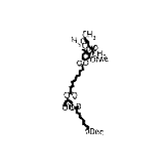 CCCCCCCCCCCCCCCCC(=O)OCC(CO)OC(=O)CCCCCCCCC(=O)OC1CC[C@](O)(CCl)[C@@H]([C@@]2(C)OC2CC=C(C)C)[C@@H]1OC